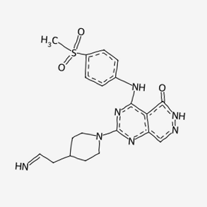 CS(=O)(=O)c1ccc(Nc2nc(N3CCC(CC=N)CC3)nc3cn[nH]c(=O)c23)cc1